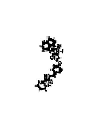 O=C(CCc1ccc(OCC[C@H](NS(=O)(=O)c2cccc3ccccc23)C(=O)O)cc1)NC1=NCCCN1